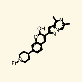 CCN1CCC(c2ccc3c(c2)OC(O)C(c2cc4c(C)nc(C)cn4n2)=C3)CC1